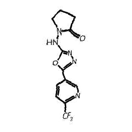 O=C1CCCN1Nc1nnc(-c2ccc(C(F)(F)F)nc2)o1